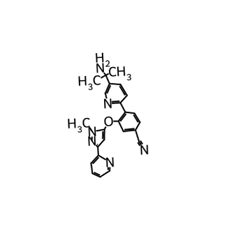 Cn1nc(-c2ccccn2)cc1Oc1cc(C#N)ccc1-c1ccc(C(C)(C)N)cn1